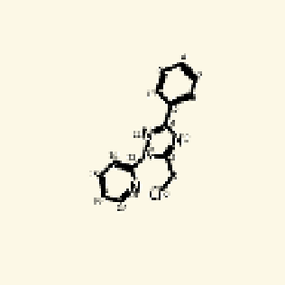 ClCc1nc(-c2ccccc2)nn1-c1ccccn1